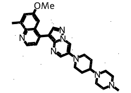 COc1cc(C)c2nccc(-c3cnn4cc(N5CCC(N6CCN(C)CC6)CC5)cnc34)c2c1